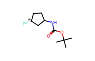 CC(C)(C)OC(=O)NC1CC[C@@H](F)C1